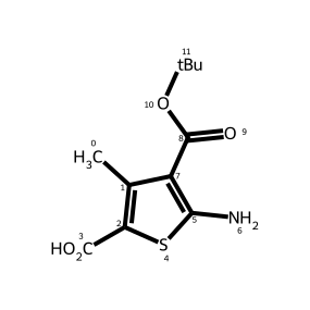 Cc1c(C(=O)O)sc(N)c1C(=O)OC(C)(C)C